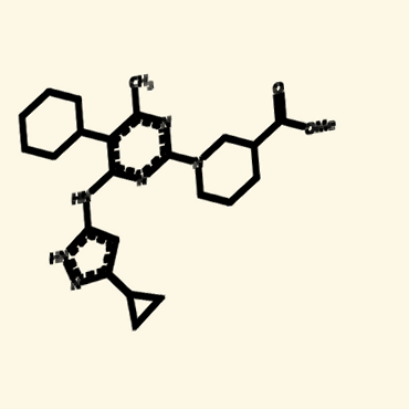 COC(=O)C1CCCN(c2nc(C)c(C3CCCCC3)c(Nc3cc(C4CC4)n[nH]3)n2)C1